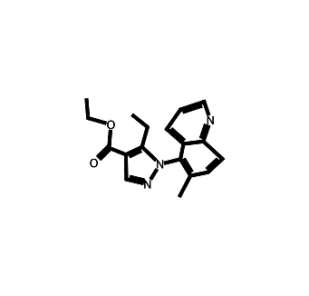 CCOC(=O)c1cnn(-c2c(C)ccc3ncccc23)c1CC